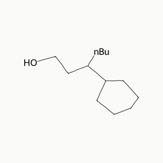 CCCCC(CCO)C1CCCCC1